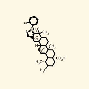 C[C@@H]1CC[C@]2(C(=O)O)CC[C@]3(C)C(=CC[C@@H]4[C@@]5(C)Cc6cnn(-c7ccccc7F)c6C(C)(C)C5CC[C@]43C)C2[C@H]1C